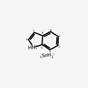 [SnH2].c1ccc2[nH]ccc2c1